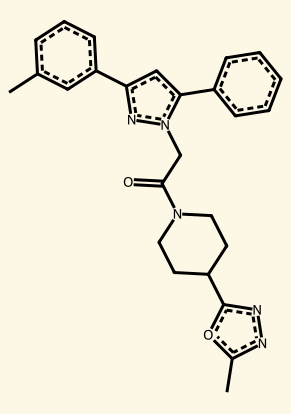 Cc1cccc(-c2cc(-c3ccccc3)n(CC(=O)N3CCC(c4nnc(C)o4)CC3)n2)c1